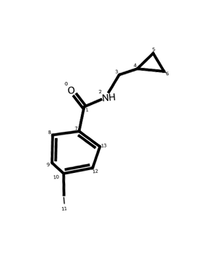 O=C(NCC1CC1)c1ccc(I)cc1